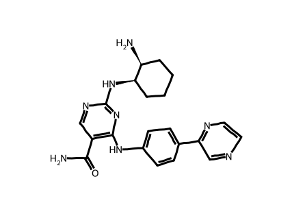 NC(=O)c1cnc(N[C@@H]2CCCC[C@@H]2N)nc1Nc1ccc(-c2cnccn2)cc1